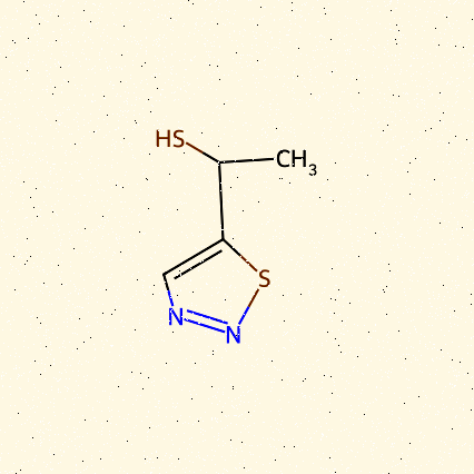 CC(S)c1cnns1